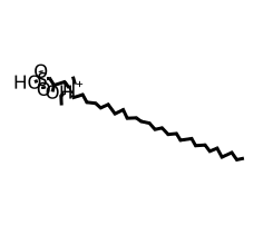 CCCCCCCCCCCCCCCCCCCCCCCCCC[N+](CC)(CC)CC(O)CS(=O)(=O)O